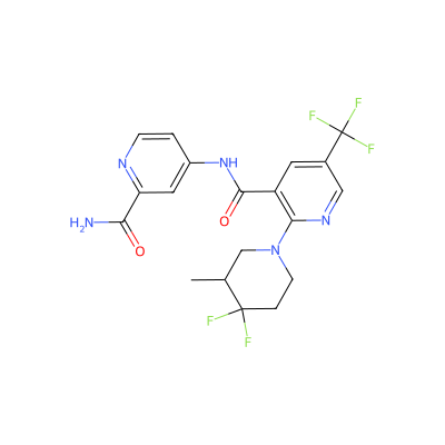 CC1CN(c2ncc(C(F)(F)F)cc2C(=O)Nc2ccnc(C(N)=O)c2)CCC1(F)F